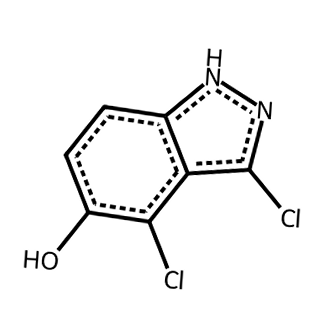 Oc1ccc2[nH]nc(Cl)c2c1Cl